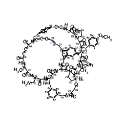 COc1ccc(C[C@@H]2NC(=O)[C@H]([C@@H](C)O)NC(=O)[C@@H]3[C@@H]4CCN3C(=O)[C@@H]3Cc5cn(c6ccc(F)cc56)C/C=C/CCCN(Cc5ccc(cc5)CCNC(=O)[C@]5(C)CCCN5C2=O)C(=O)CCC(=O)N[C@@H](C)C(=O)N[C@H](CN)C(=O)N[C@@H](Cc2cccc(c2)CNC(=O)CO4)C(=O)N3)cc1